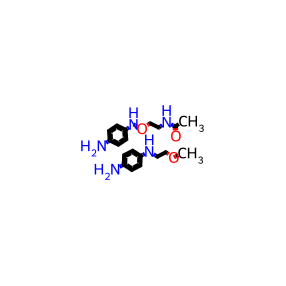 CC(=O)NCCONc1ccc(N)cc1.COCCNc1ccc(N)cc1